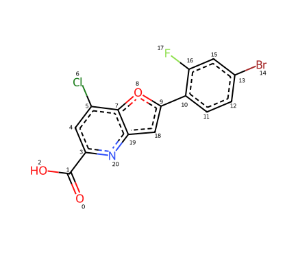 O=C(O)c1cc(Cl)c2oc(-c3ccc(Br)cc3F)cc2n1